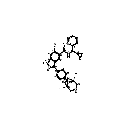 O=C(NC(c1ccccn1)C1CC1)c1cc2c(-c3ccc(N4[C@@H]5CC[C@H]4COC5)cc3)n[nH]c2cc1F